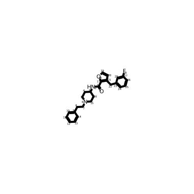 O=C(NC1CCN(CCc2ccccc2)CC1)c1occc1Cc1cccc(F)c1